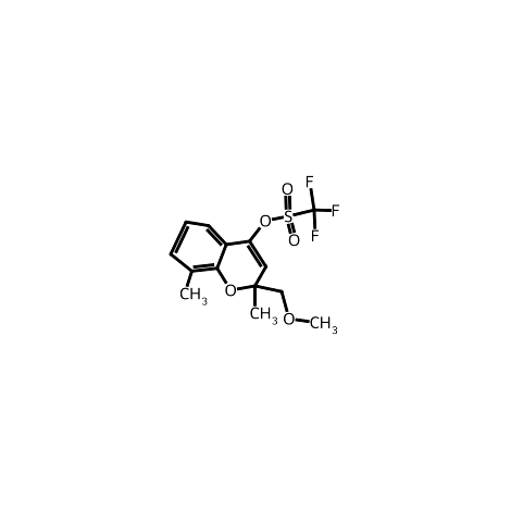 COCC1(C)C=C(OS(=O)(=O)C(F)(F)F)c2cccc(C)c2O1